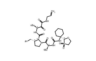 C=CCNC(=O)C(=O)[C@H](CCCC)NC(=O)[C@@H]1[C@@H](CC(C)C)CCN1C(=O)[C@@H](NC(=O)NC1([C@@H]2OCCS2(=O)=O)CCCCC1)C(C)(C)C